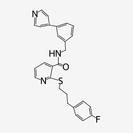 O=C(NCc1cccc(-c2ccncc2)c1)c1cccnc1SCCCc1ccc(F)cc1